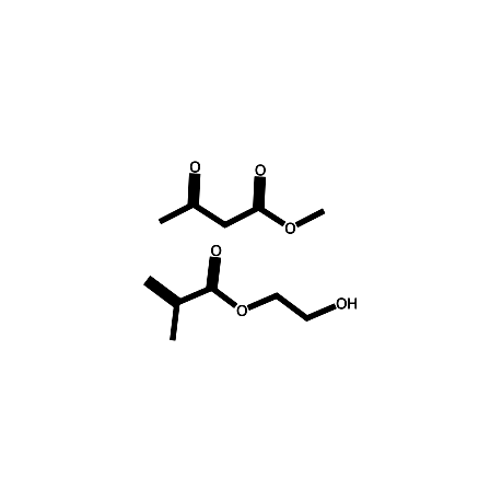 C=C(C)C(=O)OCCO.COC(=O)CC(C)=O